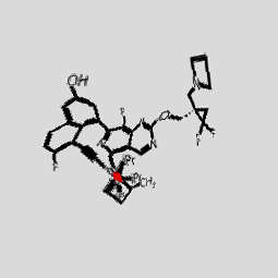 CC(C)[Si](C#Cc1c(F)ccc2cc(O)cc(-c3nc(N4CC[C@@H]4C)c4cnc(OC[C@]5(CN6CCC6)CC5(F)F)nc4c3F)c12)(C(C)C)C(C)C